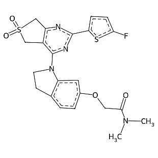 CN(C)C(=O)COc1ccc2c(c1)N(c1nc(-c3ccc(F)s3)nc3c1CS(=O)(=O)C3)CC2